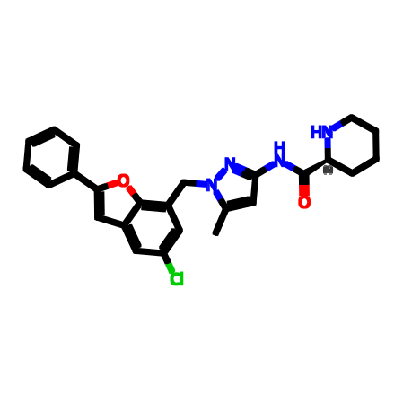 Cc1cc(NC(=O)[C@@H]2CCCCN2)nn1Cc1cc(Cl)cc2cc(-c3ccccc3)oc12